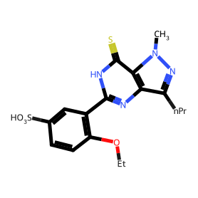 CCCc1nn(C)c2c(=S)[nH]c(-c3cc(S(=O)(=O)O)ccc3OCC)nc12